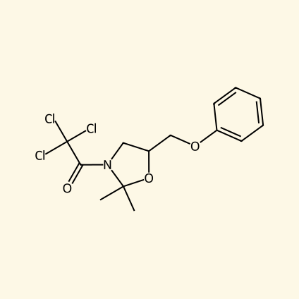 CC1(C)OC(COc2ccccc2)CN1C(=O)C(Cl)(Cl)Cl